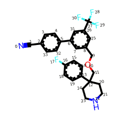 N#Cc1ccc(-c2cc(COCC3(c4ccc(F)cc4)CCNCC3)cc(C(F)(F)F)c2)cc1